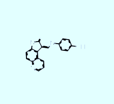 Cc1ccc(N/C=C2\C(=O)Nc3ccc4ncccc4c32)cc1